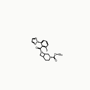 CC(C)(C)OC(=O)N1CCC2CN(C(=O)c3c(F)cccc3-n3nccn3)C2C1